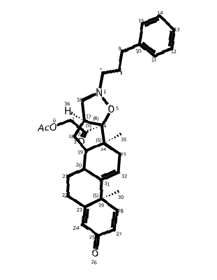 CC(=O)OCC(=O)[C@@]12ON(CCCc3ccccc3)C[C@@H]1CC1C3CCC4=CC(=O)C=C[C@]4(C)C3=CC[C@@]12C